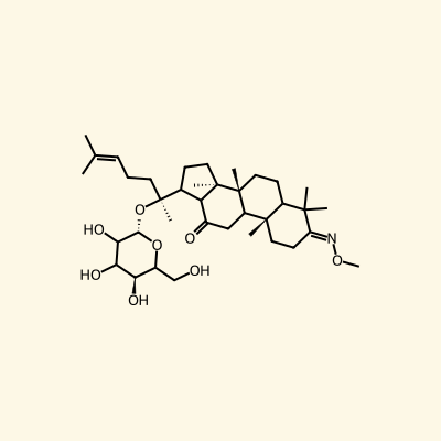 CO/N=C1\CC[C@@]2(C)C(CC[C@]3(C)C2CC(=O)C2C([C@](C)(CCC=C(C)C)O[C@@H]4OC(CO)[C@@H](O)C(O)C4O)CC[C@]23C)C1(C)C